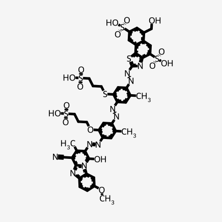 COc1ccc2nc3c(C#N)c(C)c(N=Nc4cc(C)c(N=Nc5cc(C)c(N=Nc6nc7c(S(=O)(=O)O)cc8c(CO)cc(S(=O)(=O)O)cc8c7s6)cc5SCCCS(=O)(=O)O)cc4OCCCS(=O)(=O)O)c(O)n3c2c1